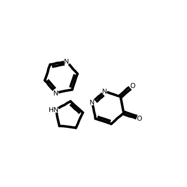 C1=CNCC1.O=C1C=CN=NC1=O.c1cnccn1